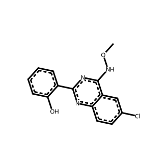 CONc1nc(-c2ccccc2O)nc2ccc(Cl)cc12